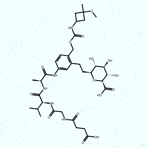 COC1(C)CC(NC(=O)OCc2ccc(NC(=O)[C@H](C)NC(=O)[C@@H](NC(=O)CNC(=O)CCC(=O)O)C(C)C)cc2CC[C@@H]2O[C@H](C(=O)O)[C@@H](O)[C@H](O)[C@H]2O)C1